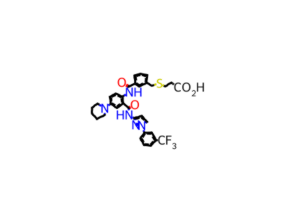 O=C(O)CCSCc1cccc(C(=O)Nc2ccc(N3CCCCC3)cc2C(=O)Nc2ccn(-c3cccc(C(F)(F)F)c3)n2)c1